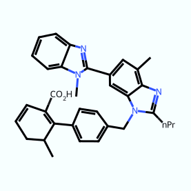 CCCc1nc2c(C)cc(-c3nc4ccccc4n3C)cc2n1Cc1ccc(C2=C(C(=O)O)C=CCC2C)cc1